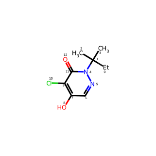 CCC(C)(C)n1ncc(O)c(Cl)c1=O